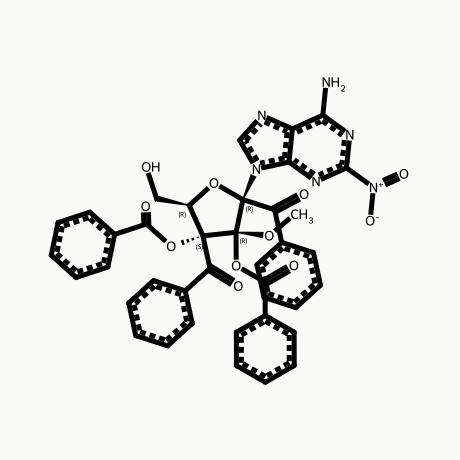 CO[C@@]1(OC(=O)c2ccccc2)[C@@](OC(=O)c2ccccc2)(C(=O)c2ccccc2)[C@@H](CO)O[C@@]1(C(=O)c1ccccc1)n1cnc2c(N)nc([N+](=O)[O-])nc21